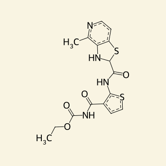 CCOC(=O)NC(=O)c1ccsc1NC(=O)C1Nc2c(ccnc2C)S1